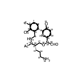 CC(=O)N(NCc1cccc(F)c1Cl)[C@@H](CCCN)CON(C=O)c1ccc(Cl)cn1